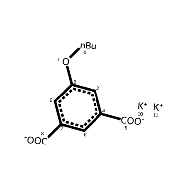 CCCCOc1cc(C(=O)[O-])cc(C(=O)[O-])c1.[K+].[K+]